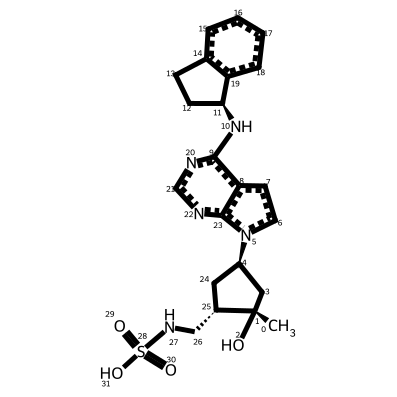 C[C@]1(O)C[C@H](n2ccc3c(N[C@H]4CCc5ccccc54)ncnc32)C[C@H]1CNS(=O)(=O)O